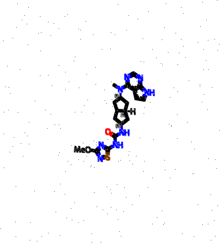 COc1nsc(NC(=O)N[C@H]2CC3C[C@H](N(C)c4ncnc5[nH]ccc45)C[C@H]3C2)n1